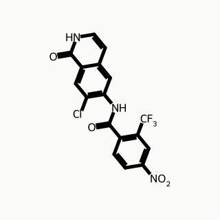 O=C(Nc1cc2cc[nH]c(=O)c2cc1Cl)c1ccc([N+](=O)[O-])cc1C(F)(F)F